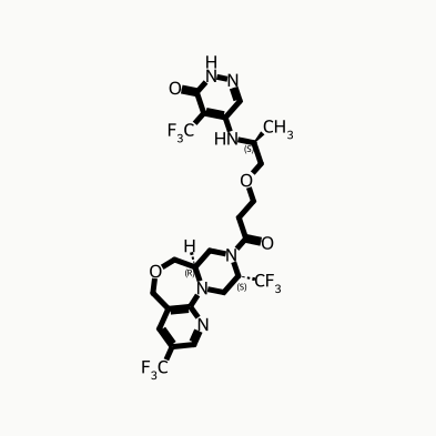 C[C@@H](COCCC(=O)N1C[C@@H]2COCc3cc(C(F)(F)F)cnc3N2C[C@H]1C(F)(F)F)Nc1cn[nH]c(=O)c1C(F)(F)F